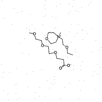 CCOCC[N+]1(C)CCOCC1.COCCOCCOCCC(=O)[O-]